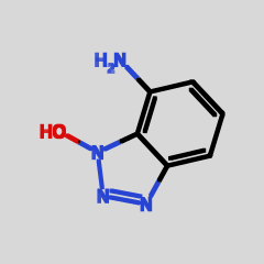 Nc1cccc2nnn(O)c12